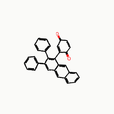 O=C1C=CC(=O)C(c2c(-c3ccccc3)c(-c3ccccc3)cc3cc4ccccc4cc23)=C1